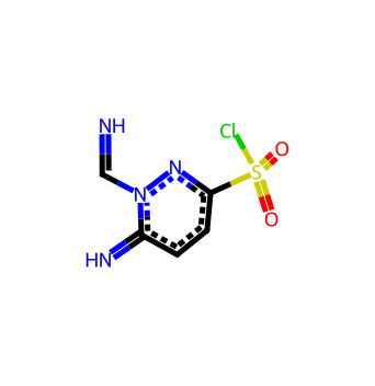 N=Cn1nc(S(=O)(=O)Cl)ccc1=N